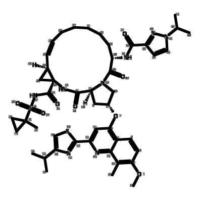 COc1ccc2c(O[C@@H]3C[C@H]4C(=O)N[C@]5(C(=O)NS(=O)(=O)C6(C)CC6)C[C@H]5/C=C\CCCCC[C@H](NC(=O)c5ccn(C(C)C)n5)C(=O)N4C3)cc(-c3nc(C(C)C)cs3)nc2c1C